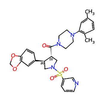 Cc1ccc(C)c(N2CCN(C(=O)[C@@H]3CN(S(=O)(=O)c4cccnc4)C[C@H]3c3ccc4c(c3)OCO4)CC2)c1